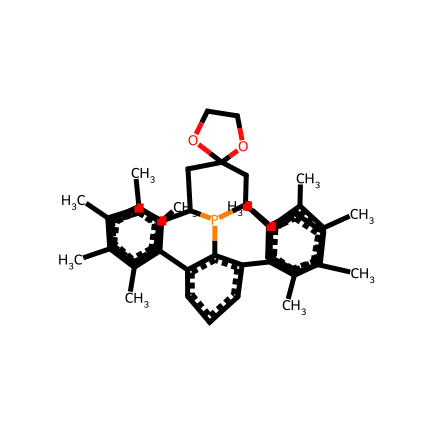 Cc1c(C)c(C)c(-c2cccc(-c3c(C)c(C)c(C)c(C)c3C)c2P2C(c3ccccc3)CC3(CC2c2ccccc2)OCCO3)c(C)c1C